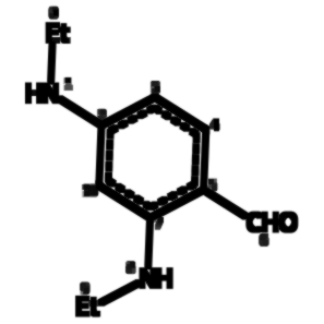 CCNc1ccc(C=O)c(NCC)c1